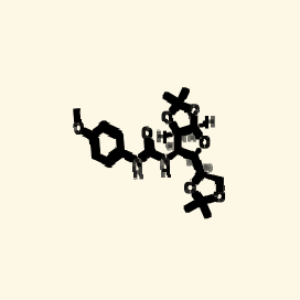 COc1ccc(NC(=O)N[C@H]2[C@H]3OC(C)(C)O[C@H]3O[C@@H]2[C@H]2COC(C)(C)O2)cc1